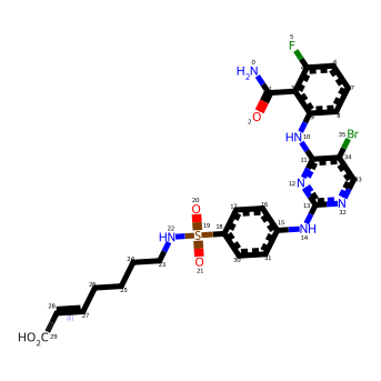 NC(=O)c1c(F)cccc1Nc1nc(Nc2ccc(S(=O)(=O)NCCCC/C=C/C(=O)O)cc2)ncc1Br